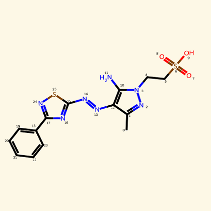 Cc1nn(CCS(=O)(=O)O)c(N)c1N=Nc1nc(-c2ccccc2)ns1